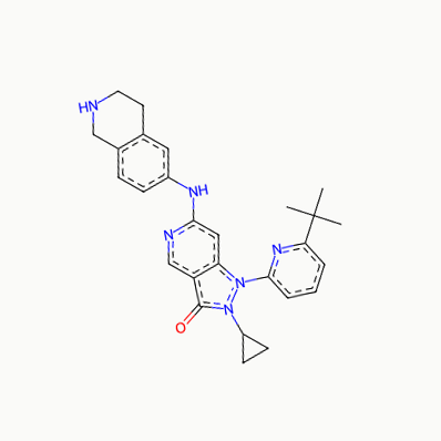 CC(C)(C)c1cccc(-n2c3cc(Nc4ccc5c(c4)CCNC5)ncc3c(=O)n2C2CC2)n1